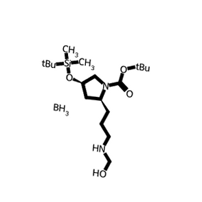 B.CC(C)(C)OC(=O)N1C[C@H](O[Si](C)(C)C(C)(C)C)C[C@@H]1CCCNCO